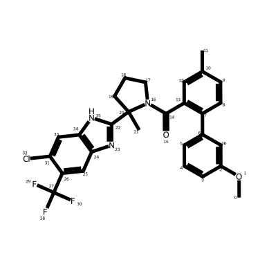 COc1cccc(-c2ccc(C)cc2C(=O)N2CCCC2(C)c2nc3cc(C(F)(F)F)c(Cl)cc3[nH]2)c1